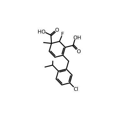 CC(C)c1ccc(Cl)cc1CC1=C(C(=O)O)C(F)C(C)(C(=O)O)C=C1